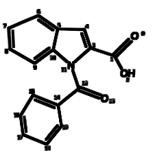 O=C(O)c1cc2ccccc2n1C(=O)c1ccccc1